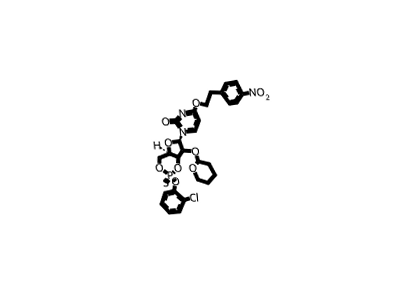 O=c1nc(OCCc2ccc([N+](=O)[O-])cc2)ccn1[C@@H]1O[C@@H]2COP(=S)(Oc3ccccc3Cl)OC2C1OC1CCCCO1